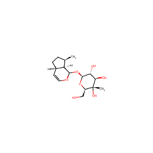 C[C@@H]1CC[C@H]2C=COC(O[C@@H]3O[C@H](CO)[C@@](C)(O)[C@H](O)[C@H]3O)[C@H]12